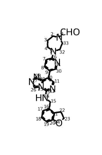 O=CN1CCCN(c2ccc(-c3cnc(NCc4cccc5c4CCO5)n4cnnc34)cn2)CC1